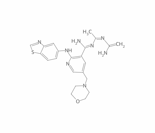 C=C(N)/N=C(C)\N=C(/N)c1cc(CN2CCOCC2)cnc1Nc1ccc2scnc2c1